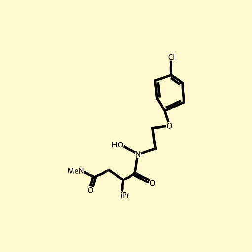 CNC(=O)CC(C(=O)N(O)CCOc1ccc(Cl)cc1)C(C)C